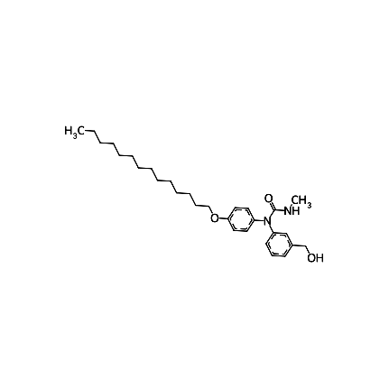 CCCCCCCCCCCCCCOc1ccc(N(C(=O)NC)c2cccc(CO)c2)cc1